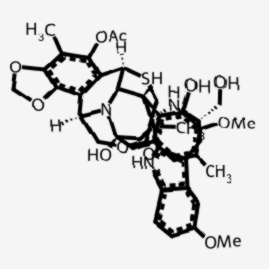 COc1ccc2[nH]c3c(c2c1)C[C@@H](CO)N[C@]31CS[C@@H]2c3c(OC(C)=O)c(C)c4c(c3[C@H](COC1=O)N1C2[C@@H]2c3c(cc(C)c(OC)c3O)C[C@@]1(O)CN2C)OCO4